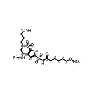 CCN[C@H]1CN(CCCOC)S(=O)(=O)c2sc(S(=O)(=O)NC(=O)CCCCCO[N+](=O)[O-])cc21